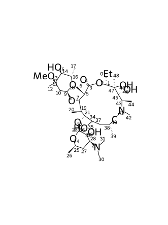 CC[C@H]1OC(=O)[C@H](C)[C@@H](O[C@H]2C[C@@](C)(OC)[C@@H](O)[C@H](C)O2)[C@H](C)[C@@H](OC2O[C@H](C)C[C@H](N(C)C)[C@H]2O)[C@](C)(O)C[C@@H](C)CN(C)[C@H](C)[C@@H](O)[C@]1(C)O